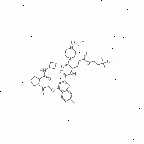 CCOC(=O)N1CCN(C(=O)C(CCC(=O)OCCC(C)(C)O)NC(=O)c2cc(OCC(=O)N3CCCC3C(=O)NC3CCC3)c3ccc(C)cc3n2)CC1